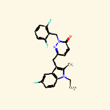 Cc1c(Cc2ccc(=O)n(Cc3c(F)cccc3F)n2)c2cc(F)ccc2n1CC(=O)O